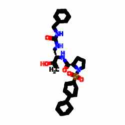 C=C(O)[C@H](CNC(=O)NCc1ccccc1)NC(=O)[C@@H]1CCCN1S(=O)(=O)c1ccc(-c2ccccc2)cc1